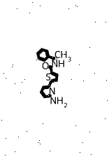 C[C@@H](NC(=O)c1ccc(-c2cccc(N)n2)s1)c1ccccc1